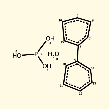 O.OP(O)O.c1ccc(-c2ccccc2)cc1